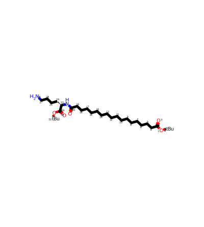 CC(C)(C)OC(=O)CCCCCCCCCCCCCCCCC(=O)N[C@@H](CCCCN)C(=O)OC(C)(C)C